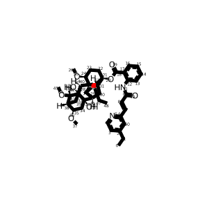 CCc1ccnc(/C=C/C(=O)Nc2ccccc2C(=O)O[C@@]23CC[C@H](OC)[C@]45C([C@@H](C[C@H]24)[C@@]2(O)C[C@H](OC)[C@H]4C[C@@H]5[C@]2(O)[C@H]4OC)N(CC)C3)c1